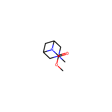 COC(=O)N1C2CC1CN(C)C2